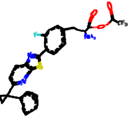 N[C@@H](Cc1ccc(-c2nc3ccc(C4(c5ccccc5)CC4)nc3s2)c(F)c1)C(=O)OC(=O)C(F)(F)F